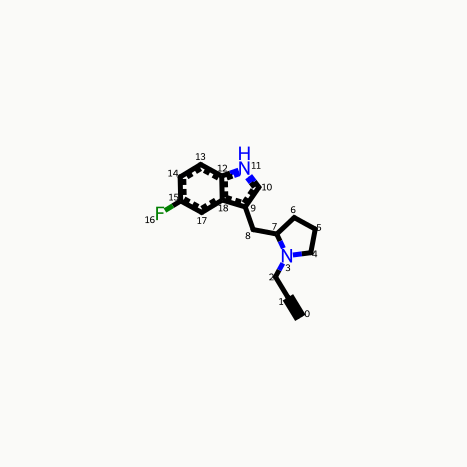 C#CCN1CCCC1Cc1c[nH]c2ccc(F)cc12